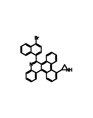 Brc1ccc(-c2nc3ccccc3c3c4cccc(C5CN5)c4c4ccccc4c23)c2ccccc12